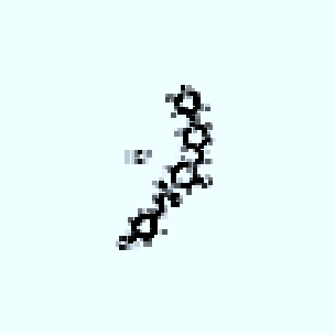 Cl.O=C1CN(S(=O)(=O)C=Cc2ccc(Cl)cc2)CCN1CC1CCN(c2ccncc2)CC1